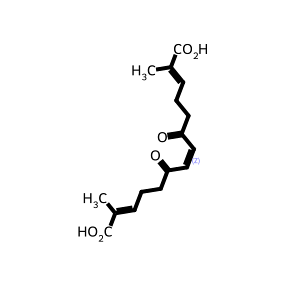 CC(=CCCC(=O)/C=C\C(=O)CCC=C(C)C(=O)O)C(=O)O